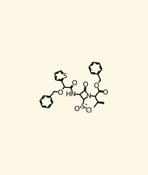 C=C(C)C(C(=O)OCc1ccccc1)N1C(=O)C(NC(=O)C(OCc2ccccc2)c2cccs2)C1[S+]([O-])Cl